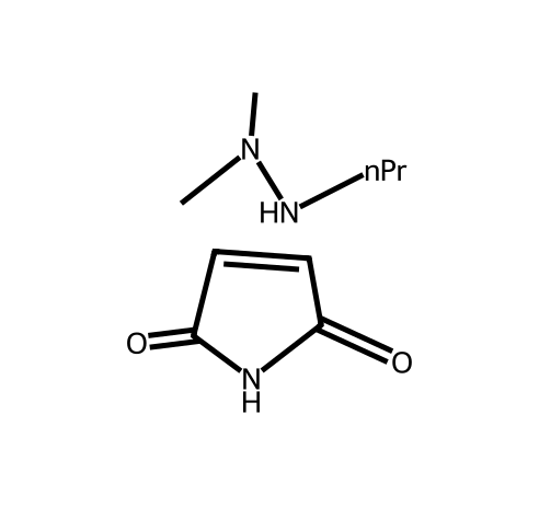 CCCNN(C)C.O=C1C=CC(=O)N1